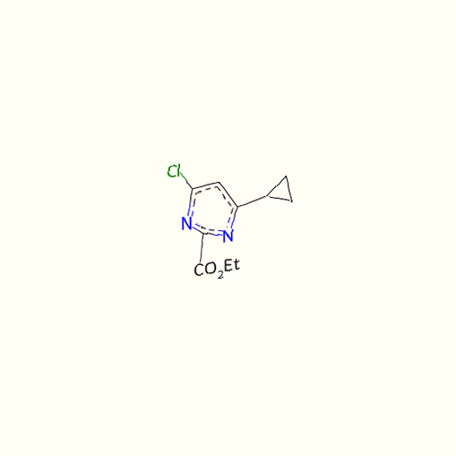 CCOC(=O)c1nc(Cl)cc(C2CC2)n1